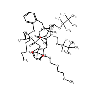 COCCOCOc1ccccc1CN(CP(C)(=O)OC(C)(C)C)[C@@H](CO[Si](C)(C)C(C)(C)C)[C@H](CO[Si](C)(C)C(C)(C)C)N(Cc1ccccc1OCOCCOC)CP(=O)(OC(C)(C)C)OC(C)(C)C